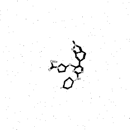 COC(=O)N1CCC(Oc2nc(N[C@H]3CC[C@@H](C)CC3)ncc2-c2ccc3cn(C)nc3c2)C1